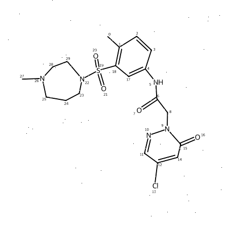 Cc1ccc(NC(=O)Cn2ncc(Cl)cc2=O)cc1S(=O)(=O)N1CCCN(C)CC1